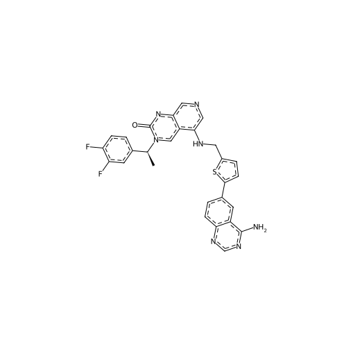 C[C@@H](c1ccc(F)c(F)c1)n1cc2c(NCc3ccc(-c4ccc5ncnc(N)c5c4)s3)cncc2nc1=O